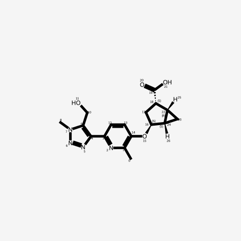 Cc1nc(-c2nnn(C)c2CO)ccc1O[C@H]1C[C@H](C(=O)O)[C@@H]2C[C@@H]21